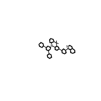 CC1(C)c2ccccc2N(c2cc(-c3ccccc3)cc(-c3ccccc3)c2)c2ccc(-c3cccc(-c4nccc5ccccc45)c3)cc21